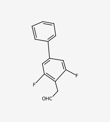 O=CCc1c(F)cc(-c2ccccc2)cc1F